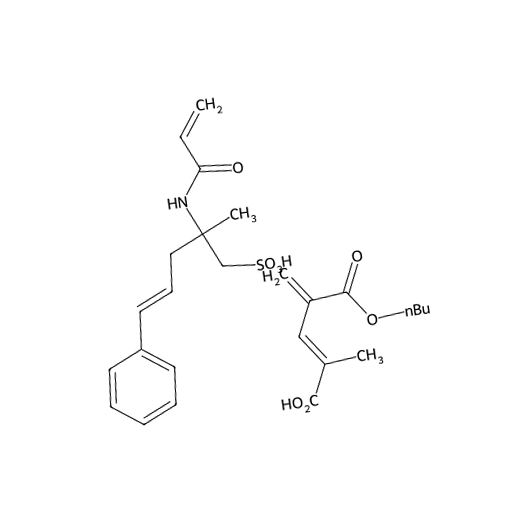 C=C(C=C(C)C(=O)O)C(=O)OCCCC.C=CC(=O)NC(C)(CC=Cc1ccccc1)CS(=O)(=O)O